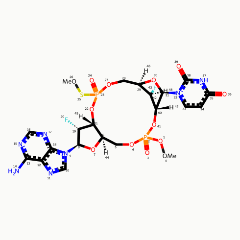 COOP1(=O)OC[C@H]2O[C@@H](n3cnc4c(N)ncnc43)[C@H](F)[C@@H]2OP(=O)(SOC)OC[C@H]2O[C@@H](n3ccc(=O)[nH]c3=O)[C@H](O1)[C@@H]2F